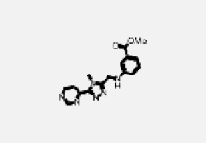 COC(=O)c1cccc(NCc2nnc(-c3ccncn3)n2C)c1